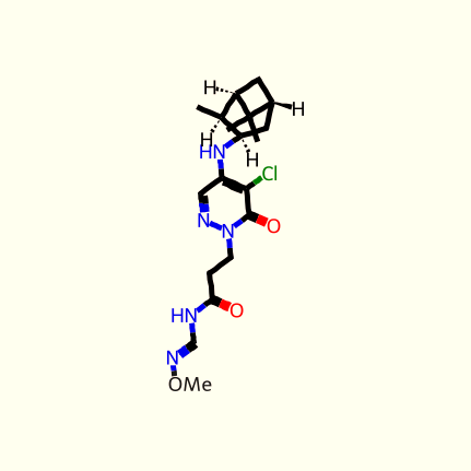 CON=CNC(=O)CCn1ncc(N[C@@H]2C[C@H]3C[C@H]([C@@H]2C)C3(C)C)c(Cl)c1=O